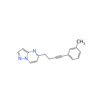 Cc1cccc(C#CCCc2ccn3nccc3n2)c1